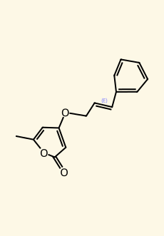 Cc1cc(OC/C=C/c2ccccc2)cc(=O)o1